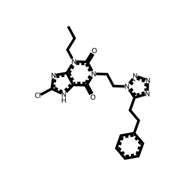 CCCn1c(=O)n(CCn2nnnc2CCc2ccccc2)c(=O)c2[nH]c(Cl)nc21